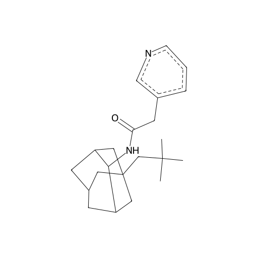 CC(C)(C)CC12CC3CC(C1)C(NC(=O)Cc1cccnc1)C(C3)C2